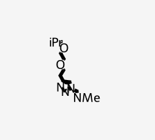 CNCn1cc(CCOCCOC(C)C)nn1